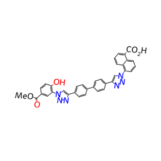 COC(=O)c1ccc(O)c(-n2cc(-c3ccc(-c4ccc(-c5cn(-c6cccc7c(C(=O)O)cccc67)nn5)cc4)cc3)nn2)c1